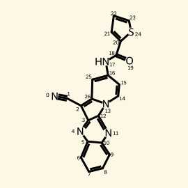 N#Cc1c2nc3ccccc3nc2n2ccc(NC(=O)c3cccs3)cc12